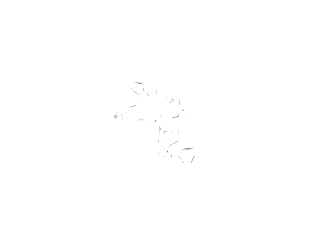 CC(C)C[C@@H](CC(=O)N[C@@H](Cc1c[nH]c2ccccc12)C(=O)CN)CC(=O)c1ccc[nH]1